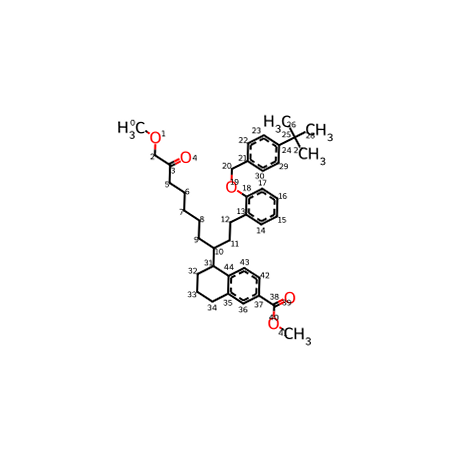 COCC(=O)CCCCCC(CCc1ccccc1OCc1ccc(C(C)(C)C)cc1)C1CCCc2cc(C(=O)OC)ccc21